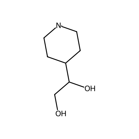 OCC(O)C1CC[N]CC1